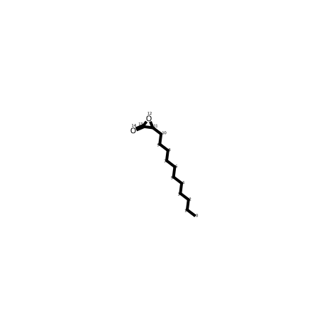 CCCCCCCCCCCC1OC1=O